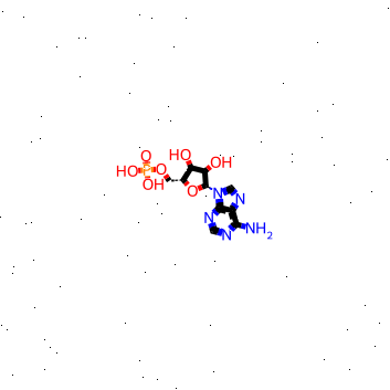 Nc1ncnc2c1ncn2[C@@H]1O[C@H](COP(=O)(O)O)C(O)C1O